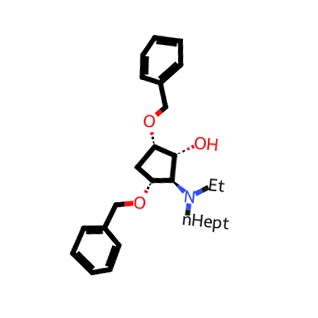 CCCCCCCN(CC)[C@@H]1[C@@H](O)[C@@H](OCc2ccccc2)C[C@H]1OCc1ccccc1